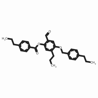 CCCc1ccc(COc2cc(C=O)c(OC(=O)c3ccc(CCC)cc3)cc2CCC)cc1